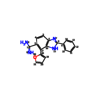 N=C(N)c1ccc2nc(-c3ccccc3)[nH]c2c1-c1ccco1